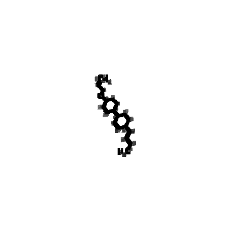 C=CCOC1CCC(C2CCC(C=CCC)CC2)CC1